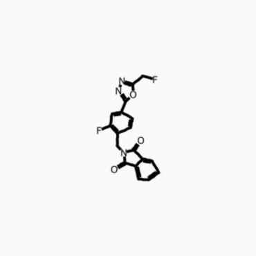 O=C1c2ccccc2C(=O)N1Cc1ccc(-c2nnc(CF)o2)cc1F